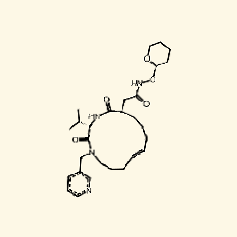 CC(C)[C@@H]1NC(=O)[C@@H](CC(=O)NOC2CCCCO2)CCC/C=C/CCCN(Cc2cccnc2)C1=O